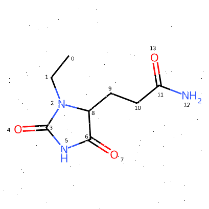 CCN1C(=O)NC(=O)C1CCC(N)=O